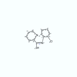 S/C(=N/c1ccccc1Cl)c1ccccn1